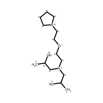 CC(O)CN(CCOCCN1CCCC1)CC(C)O